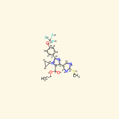 CCOC(=O)c1c(-c2cnc(SC)nc2)nc(-c2ccc(OC(F)(F)F)cc2)n1C1CC1